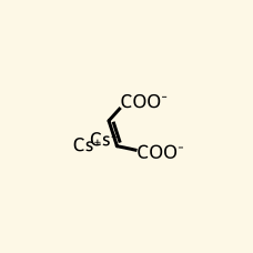 O=C([O-])/C=C\C(=O)[O-].[Cs+].[Cs+]